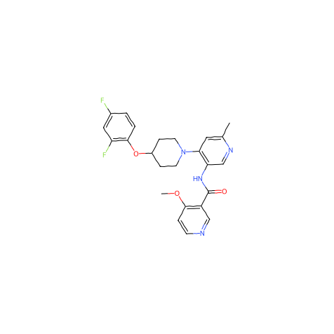 COc1ccncc1C(=O)Nc1cnc(C)cc1N1CCC(Oc2ccc(F)cc2F)CC1